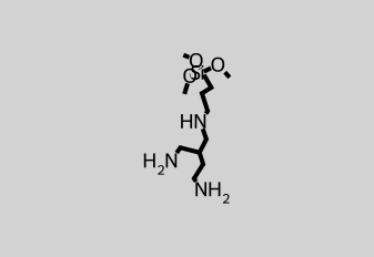 CO[Si](CCCNCC(CN)CCN)(OC)OC